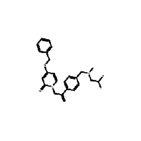 C=C(Cn1ccc(OCc2ccccc2)cc1=O)c1ccc(CN(C)CC(F)F)cc1